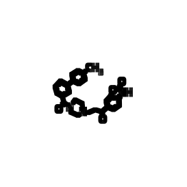 Cc1ccc(-c2cccc(C(=O)N3CCN(CCC(=O)c4ccc5[nH]c(=O)oc5c4)CC3)c2)cc1